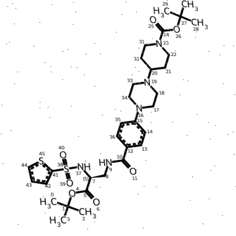 CC(C)(C)OC(=O)[C@H](CNC(=O)c1ccc(N2CCN(C3CCN(C(=O)OC(C)(C)C)CC3)CC2)cc1)NS(=O)(=O)c1cccs1